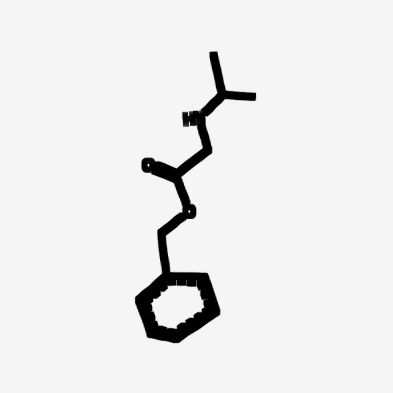 CC(C)NCC(=O)OCc1ccccc1